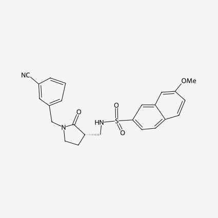 COc1ccc2ccc(S(=O)(=O)NC[C@@H]3CCN(Cc4cccc(C#N)c4)C3=O)cc2c1